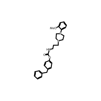 COc1ccccc1N1CCN(CCCNC(=O)Oc2ccc(Cc3ccccc3)cc2)CC1